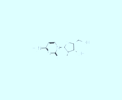 Nc1ccn([C@H]2S[C@@H](CO)[C@@H](O)[C@H]2F)c(=O)n1